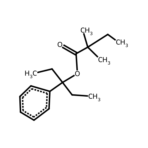 CCC(C)(C)C(=O)OC(CC)(CC)c1ccccc1